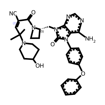 CC(C)(/C=C(/C#N)C(=O)N1CC[C@H]1Cn1c(=O)n(-c2ccc(Oc3ccccc3)cc2)c2c(N)ncnc21)N1CCC(O)CC1